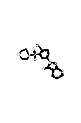 O=c1c2cccnc2sn1-c1ccc(Cl)c(S(=O)(=O)N2CCOCC2)c1